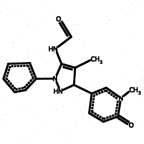 CC1=C(NC=O)N(c2ccccc2)NC1c1ccc(=O)n(C)c1